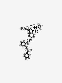 CN(C(=O)[C@@H](NC(=O)OC(C)(C)C)[C@H]1CC[C@H](COCc2ccccc2COC(=O)c2ccccc2)CC1)C1CCC1